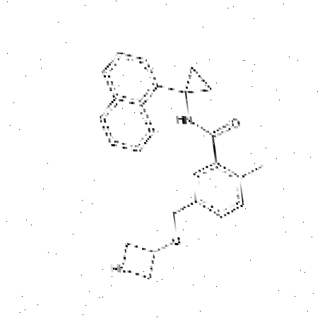 Cc1ccc(COC2CNC2)cc1C(=O)NC1(c2cccc3ccccc23)CC1